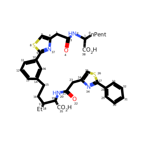 CCCCCC(NC(=O)Cc1csc(-c2cccc(CCC(CC)C(NC(=O)Cc3csc(-c4ccccc4)n3)C(=O)O)c2)n1)C(=O)O